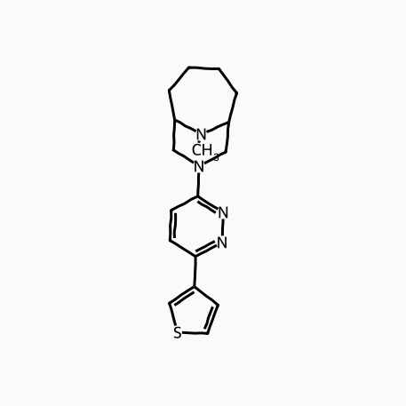 CN1C2CCCCC1CN(c1ccc(-c3ccsc3)nn1)C2